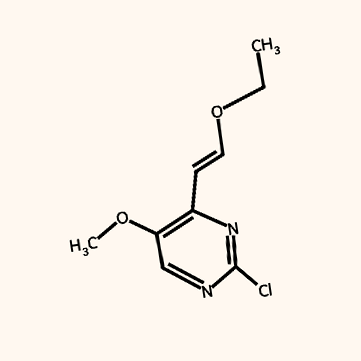 CCOC=Cc1nc(Cl)ncc1OC